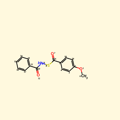 COc1ccc(C(=O)SNC(=O)c2ccccc2)cc1